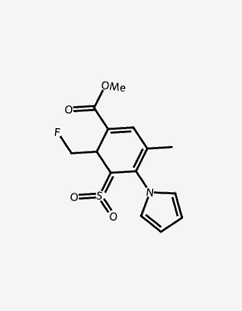 COC(=O)C1=CC(C)=C(n2cccc2)C(=S(=O)=O)C1CF